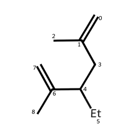 C=C(C)CC(CC)C(=C)C